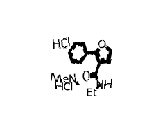 CCNC(=O)c1ccoc1-c1ccccc1.CNC.Cl.Cl